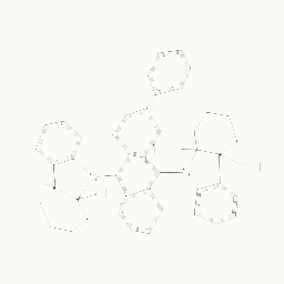 CC12CCCCC1(C)N(c1c3ccccc3c(N3c4ccccc4C4(C)CCCCC34C)c3cc(-c4ccccc4)ccc13)c1ccccc12